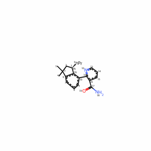 CCC[C@@H]1CC(C)(C)c2cccc(-c3ncccc3C(N)=O)c21